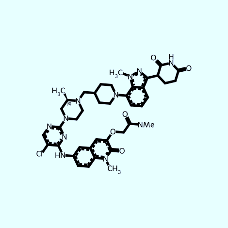 CNC(=O)COc1cc2cc(Nc3nc(N4CCN(CC5CCN(c6cccc7c(C8CCC(=O)NC8=O)nn(C)c67)CC5)[C@H](C)C4)ncc3Cl)ccc2n(C)c1=O